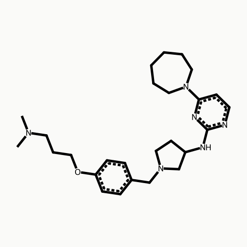 CN(C)CCCOc1ccc(CN2CCC(Nc3nccc(N4CCCCCC4)n3)C2)cc1